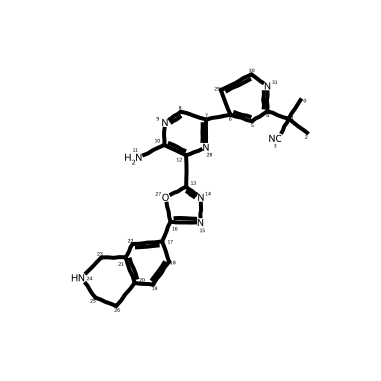 CC(C)(C#N)c1cc(-c2cnc(N)c(-c3nnc(-c4ccc5c(c4)CNCC5)o3)n2)ccn1